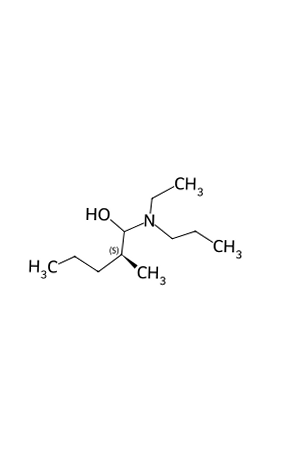 CCC[C@H](C)C(O)N(CC)CCC